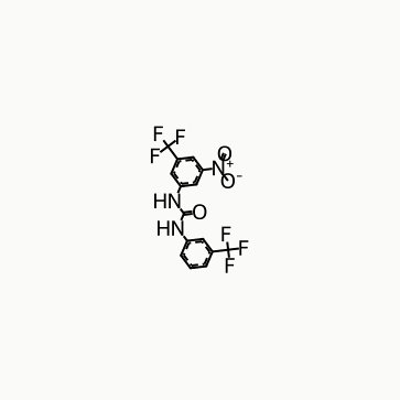 O=C(Nc1cccc(C(F)(F)F)c1)Nc1cc([N+](=O)[O-])cc(C(F)(F)F)c1